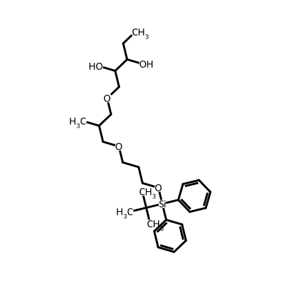 CCC(O)C(O)COCC(C)COCCCO[Si](c1ccccc1)(c1ccccc1)C(C)(C)C